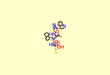 CC[C@H](C)[C@@H](CN(CC(=O)N[C@@H](CCSC)C(=O)O)Cc1cccc2ccccc12)NC(=O)Cc1cncn1Cc1ccnc2ccccc12